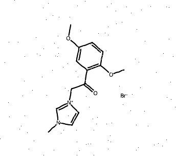 COc1ccc(OC)c(C(=O)C[n+]2ccn(C)c2)c1.[Br-]